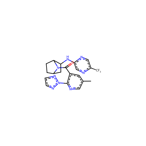 Cc1cnc(-n2nccn2)c(C(=O)N2C3CCC2C(Nc2cnc(C(F)(F)F)cn2)C3)c1